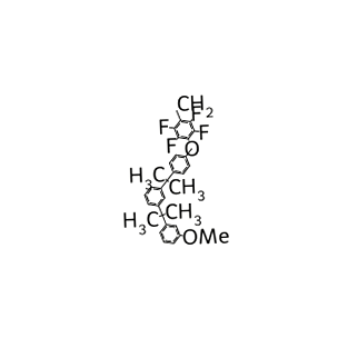 C=Cc1c(F)c(F)c(Oc2ccc(C(C)(C)c3cccc(C(C)(C)c4cccc(OC)c4)c3)cc2)c(F)c1F